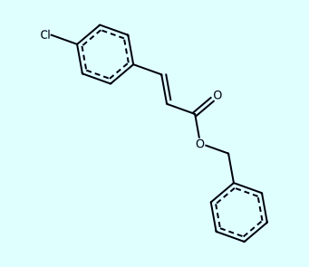 O=C(/C=C/c1ccc(Cl)cc1)OCc1ccccc1